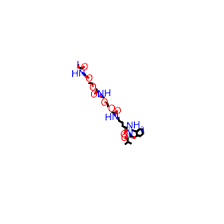 CC(C)C(=O)[C@H]1Cc2ccccc2CN1C(=O)[C@H](N)CCCCNC(=O)COCCOCCNC(=O)COCCOCCNC(=O)CI